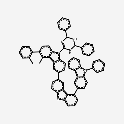 Cc1ccccc1-c1ccc2c(c1C)c1cc(-c3ccc4oc5cccc(-c6ccc7c(c6)c6ccccc6n7-c6ccccc6)c5c4c3)ccc1n2C1=NC(c2ccccc2)NC(c2ccccc2)N1